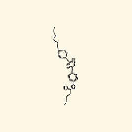 CCCCCCc1ccc(-c2ncc(-c3ccc(OC(=O)CCCC)cc3)s2)cc1